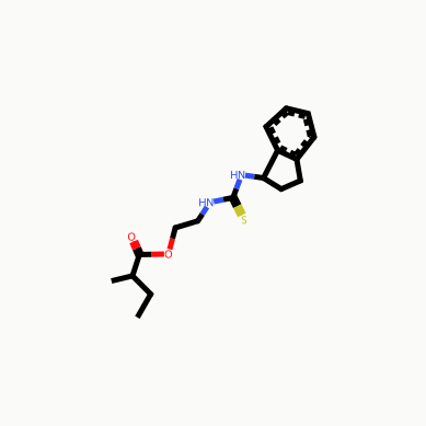 CCC(C)C(=O)OCCNC(=S)NC1CCc2ccccc21